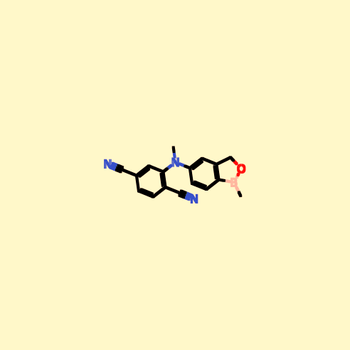 CB1OCc2cc(N(C)c3cc(C#N)ccc3C#N)ccc21